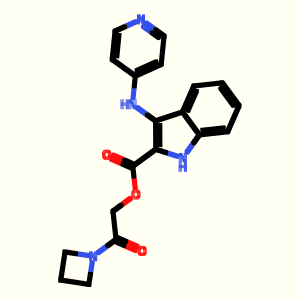 O=C(OCC(=O)N1CCC1)c1[nH]c2ccccc2c1Nc1ccncc1